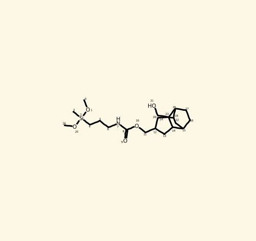 CO[Si](C)(CCCNC(=O)OCC1CC2C3CCC(C(CO)C3)C2C1)OC